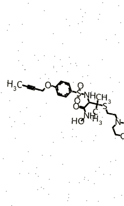 CC#CCOc1ccc(S(=O)(=O)NC(C(=O)NO)C(C)(C)SCCN2CCOCC2)cc1